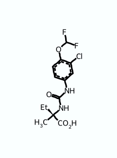 CC[C@@](C)(NC(=O)Nc1ccc(OC(F)F)c(Cl)c1)C(=O)O